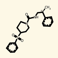 C[C@H](CNC(=O)N1CCC(S(=O)(=O)c2ccccc2)CC1)c1ccccc1